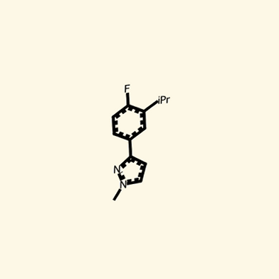 CC(C)c1cc(-c2ccn(C)n2)ccc1F